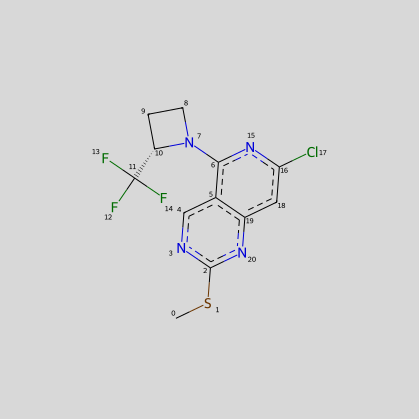 CSc1ncc2c(N3CC[C@H]3C(F)(F)F)nc(Cl)cc2n1